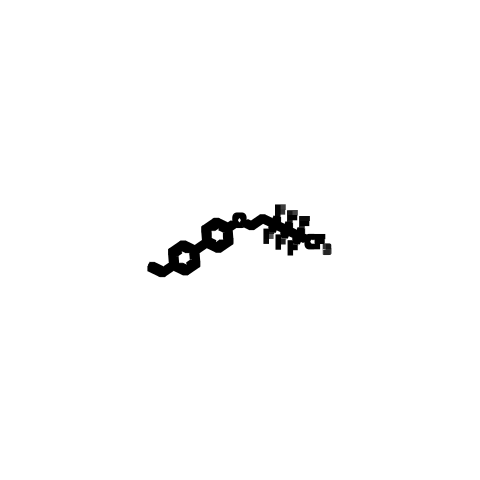 C=Cc1ccc(-c2ccc(OCCC(F)(F)C(F)(F)C(F)(F)C(F)(F)F)cc2)cc1